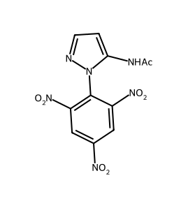 CC(=O)Nc1ccnn1-c1c([N+](=O)[O-])cc([N+](=O)[O-])cc1[N+](=O)[O-]